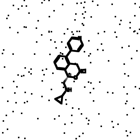 Cl.c1cc(-c2ccncc2)c2c(c1)[C@@H](CNC1CC1)OCC2